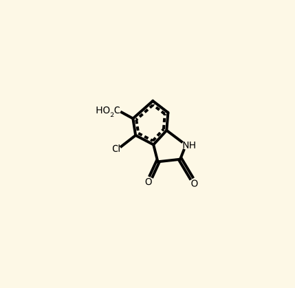 O=C1Nc2ccc(C(=O)O)c(Cl)c2C1=O